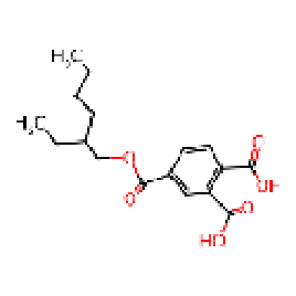 CCCCC(CC)COC(=O)c1ccc(C(=O)O)c(C(=O)O)c1